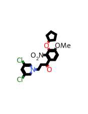 COc1ccc(C(=O)CCN2C=C(Cl)C=C(Cl)C2)c([N+](=O)[O-])c1OC1CCCC1